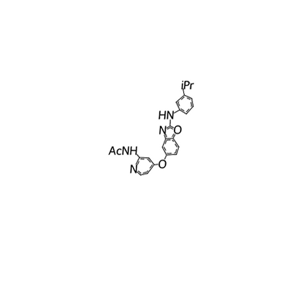 CC(=O)Nc1cc(Oc2ccc3oc(Nc4cccc(C(C)C)c4)nc3c2)ccn1